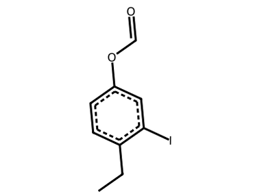 CCc1ccc(OC=O)cc1I